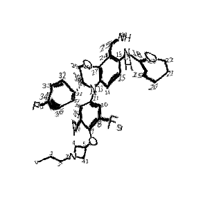 CCCN1CC(Oc2c(F)cc(N3c4ccc(NC5CCCCO5)c(C=N)c4OC[C@H]3c3ccc(F)cc3)cc2F)C1